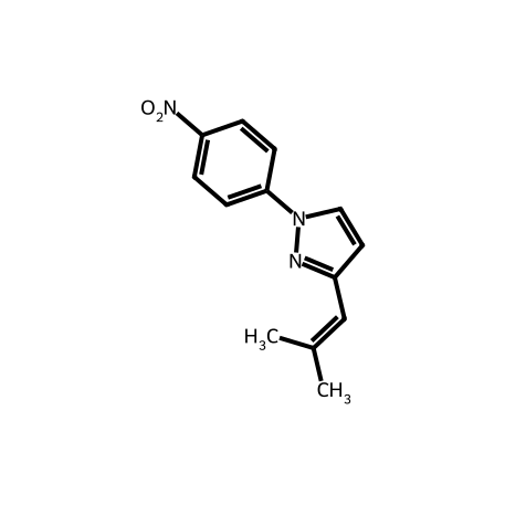 CC(C)=Cc1ccn(-c2ccc([N+](=O)[O-])cc2)n1